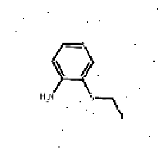 Nc1ccccc1SCI